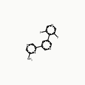 Nc1cncc(-c2cncc(-c3c(F)cncc3F)c2)n1